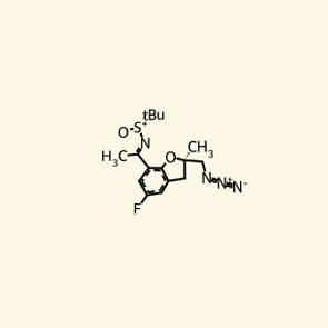 CC(=N[S@+]([O-])C(C)(C)C)c1cc(F)cc2c1O[C@@](C)(CN=[N+]=[N-])C2